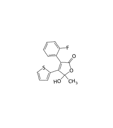 CC1(O)OC(=O)C(c2ccccc2F)=C1c1cccs1